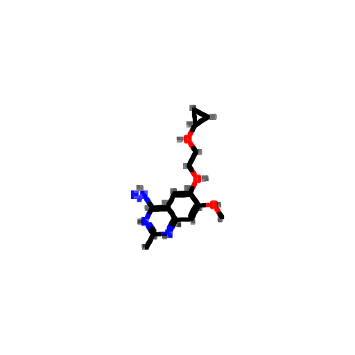 COc1cc2nc(C)nc(N)c2cc1OCCOC1CC1